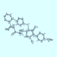 BC(=O)NC(=N)c1ccccc1-c1ccc(Cc2c(CCCC)nc(CC)n(-c3ccc(OC)cc3)c2=O)cc1